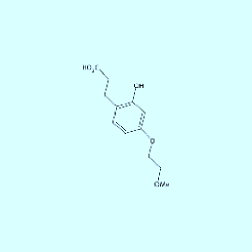 COCCOc1ccc(CCC(=O)O)c(O)c1